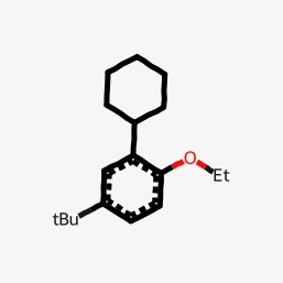 CCOc1ccc(C(C)(C)C)cc1C1CCCCC1